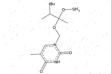 Cc1cn(COC(C)(O[SiH3])C(C)C(C)(C)C)c(=O)[nH]c1=O